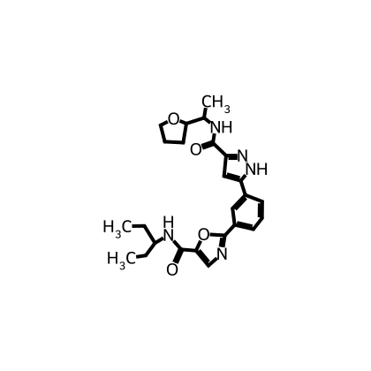 CCC(CC)NC(=O)c1cnc(-c2cccc(-c3cc(C(=O)NC(C)C4CCCO4)n[nH]3)c2)o1